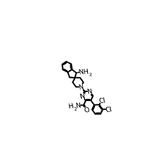 NC(=O)c1nc(N2CCC3(CC2)Cc2ccccc2[C@H]3N)ncc1-c1cccc(Cl)c1Cl